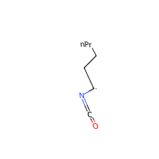 CCCCC[CH]N=C=O